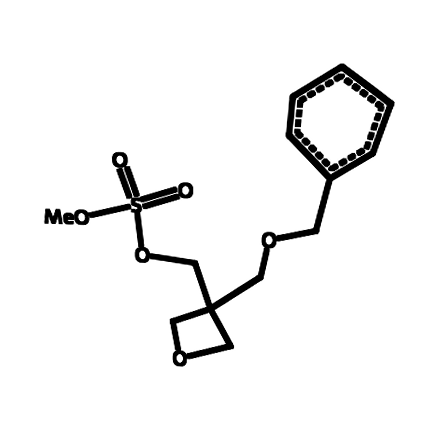 COS(=O)(=O)OCC1(COCc2ccccc2)COC1